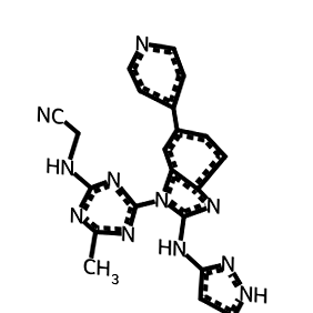 Cc1nc(NCC#N)nc(-n2c(Nc3cc[nH]n3)nc3ccc(-c4ccncc4)cc32)n1